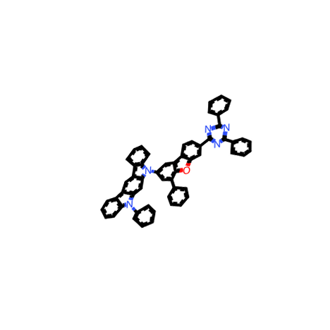 c1ccc(-c2nc(-c3ccccc3)nc(-c3ccc4c(c3)oc3c(-c5ccccc5)cc(-n5c6ccccc6c6cc7c8ccccc8n(-c8ccccc8)c7cc65)cc34)n2)cc1